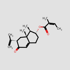 C=C(C)[C@@H]1C[C@@]2(C)C(=CC1=O)CC[C@@H](OC(=O)/C(C)=C\C)[C@@H]2C